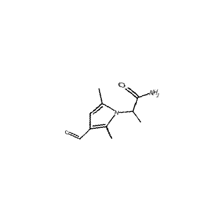 Cc1cc(C=O)c(C)n1C(C)C(N)=O